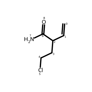 C=CC(CCCl)C(N)=O